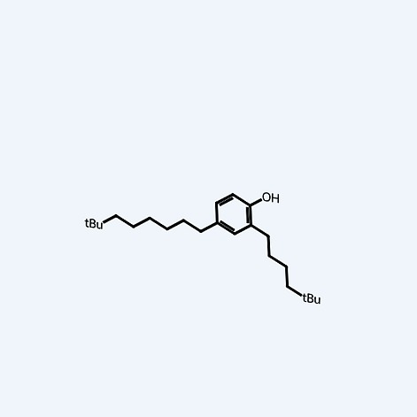 CC(C)(C)CCCCCCc1ccc(O)c(CCCCC(C)(C)C)c1